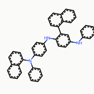 c1ccc(Nc2ccc(Nc3ccc(N(c4ccccc4)c4cccc5ccccc45)cc3)c(-c3cccc4ccccc34)c2)cc1